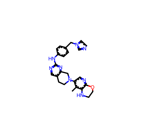 Cc1c(N2CCc3cnc(Nc4ccc(Cn5ccnc5)cc4)nc3C2)cnc2c1NCCO2